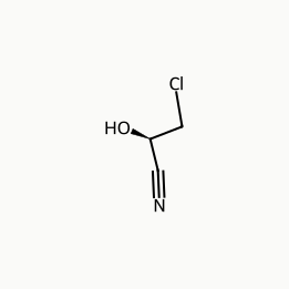 N#C[C@@H](O)CCl